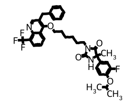 CC(C)Oc1ccc(C2(C)NC(=O)N(CCCCCCOc3c(Cc4ccccc4)cnc4c(C(F)(F)F)cccc34)C2=O)cc1F